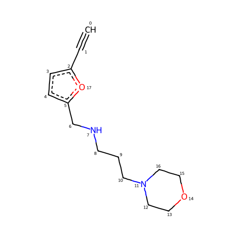 C#Cc1ccc(CNCCCN2CCOCC2)o1